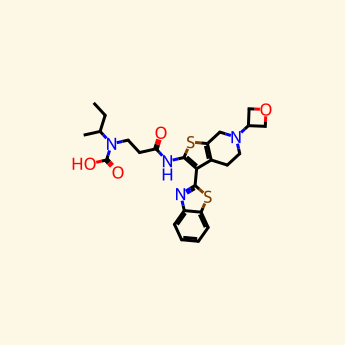 CCC(C)N(CCC(=O)Nc1sc2c(c1-c1nc3ccccc3s1)CCN(C1COC1)C2)C(=O)O